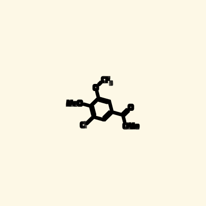 COC(=O)c1cc(Cl)c(OC)c(OC(F)(F)F)c1